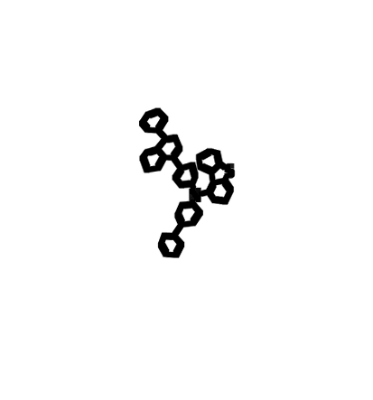 c1ccc(-c2ccc(N(c3ccc(-c4ccc(-c5ccccc5)c5ccccc45)cc3)c3cccc4sc5ccccc5c34)cc2)cc1